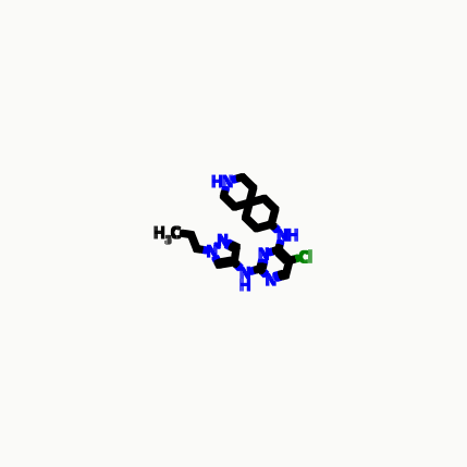 CCCn1cc(Nc2ncc(Cl)c(NC3CCC4(CCNCC4)CC3)n2)cn1